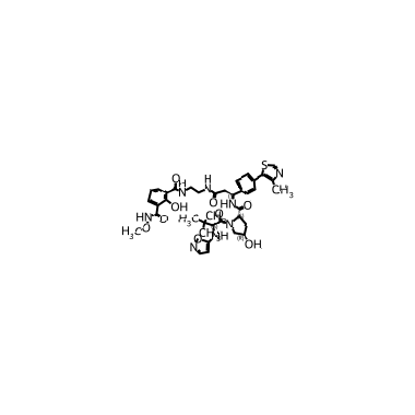 CONC(=O)c1cccc(C(=O)NCCNC(=O)C[C@H](NC(=O)[C@@H]2C[C@@H](O)CN2C(=O)[C@@H](Nc2ccno2)C(C)(C)C)c2ccc(-c3scnc3C)cc2)c1O